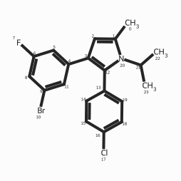 Cc1cc(-c2cc(F)cc(Br)c2)c(-c2ccc(Cl)cc2)n1C(C)C